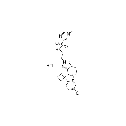 Cl.Cn1cnc(S(=O)(=O)NCCn2cc3c(n2)C(C2(c4ccc(Cl)cc4)CCC2)NCC3)c1